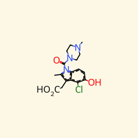 Cc1c(CC(=O)O)c2c(Cl)c(O)ccc2n1C(=O)N1CCN(C)CC1